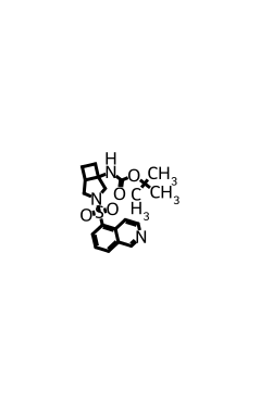 CC(C)(C)OC(=O)NC12CCC1CN(S(=O)(=O)c1cccc3cnccc13)C2